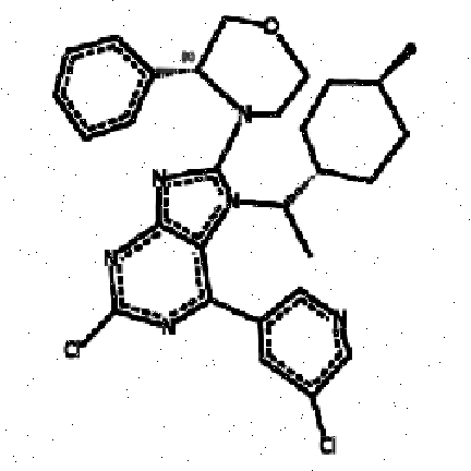 CC([C@H]1CC[C@H](C)CC1)n1c(N2CCOC[C@H]2c2ccccc2)nc2nc(Cl)nc(-c3cncc(Cl)c3)c21